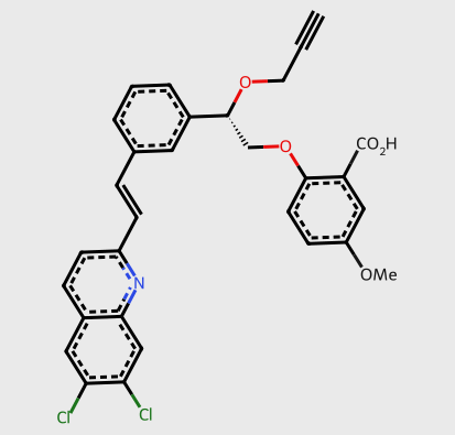 C#CCO[C@H](COc1ccc(OC)cc1C(=O)O)c1cccc(/C=C/c2ccc3cc(Cl)c(Cl)cc3n2)c1